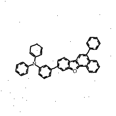 C1=CC(N(c2ccccc2)c2cccc(-c3ccc4c(c3)oc3c5ccccc5c(-c5ccccc5)cc43)c2)=CCC1